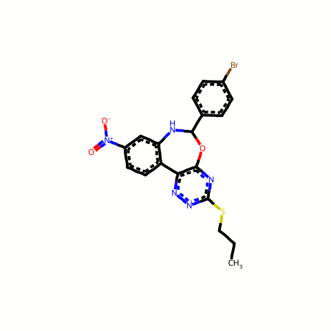 CCCSc1nnc2c(n1)OC(c1ccc(Br)cc1)Nc1cc([N+](=O)[O-])ccc1-2